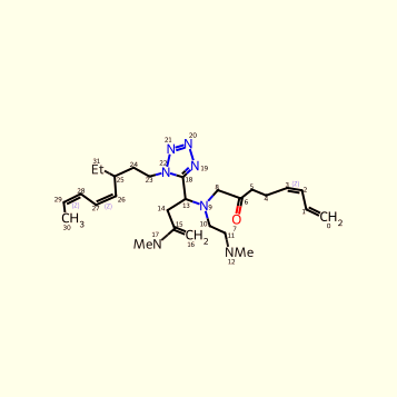 C=C/C=C\CCC(=O)CN(CCNC)C(CC(=C)NC)c1nnnn1CCC(/C=C\C=C/C)CC